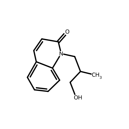 CC(CO)Cn1c(=O)ccc2ccccc21